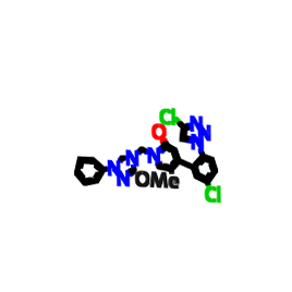 COc1cn(CN2C=NN(c3ccccc3)C2)c(=O)cc1-c1cc(Cl)ccc1-n1cc(Cl)nn1